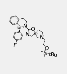 CC(C)(C)[Si](C)(C)OCCN1CC[C@@]2(CN=C(N3CCc4ccccc4[C@@H]3c3ccc(F)cc3)O2)C1